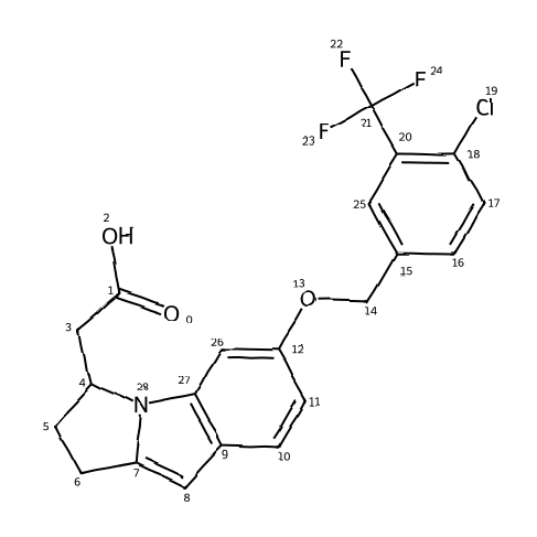 O=C(O)CC1CCc2cc3ccc(OCc4ccc(Cl)c(C(F)(F)F)c4)cc3n21